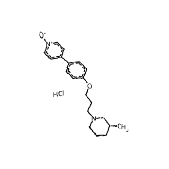 C[C@H]1CCCN(CCCOc2ccc(-c3cc[n+]([O-])cc3)cc2)C1.Cl